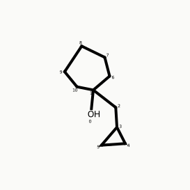 OC1(CC2CC2)CCCCC1